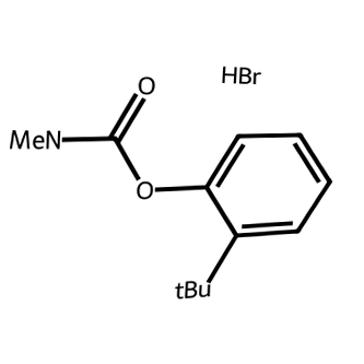 Br.CNC(=O)Oc1ccccc1C(C)(C)C